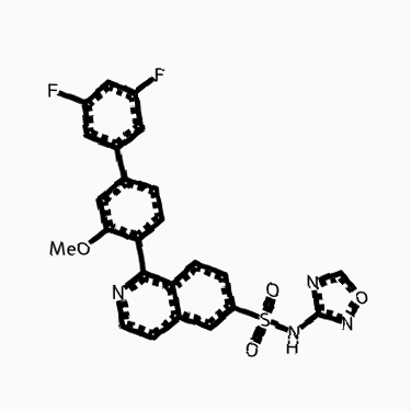 COc1cc(-c2cc(F)cc(F)c2)ccc1-c1nccc2cc(S(=O)(=O)Nc3ncon3)ccc12